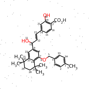 Cc1ccc(COc2cc(C(O)C=Cc3ccc(C(=O)O)c(O)c3)cc3c2C(C)(C)CCC3(C)C)cc1